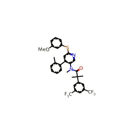 COc1cccc(Sc2cc(-c3ccccc3C)c(N(C)C(=O)C(C)(C)c3cc(C(F)(F)F)cc(C(F)(F)F)c3)cn2)c1